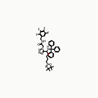 CC1(C)OB(CCCCC(NC(c2ccccc2)(c2ccccc2)c2ccccc2)c2nnnn2CC(=O)NCc2cc(F)c(F)c(F)c2F)OC1(C)C